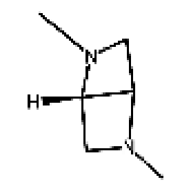 CN1C[C@H]2C1CN2C